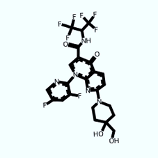 O=C(NC(C(F)(F)F)C(F)(F)F)c1cn(-c2ncc(F)cc2F)c2nc(N3CCC(O)(CO)CC3)ccc2c1=O